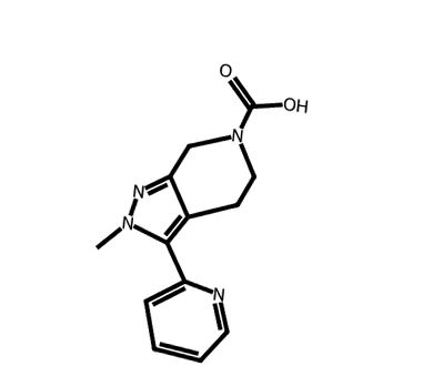 Cn1nc2c(c1-c1ccccn1)CCN(C(=O)O)C2